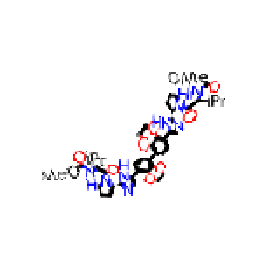 COC(=O)N[C@H](C(=O)N1CCC[C@H]1c1ncc(-c2ccc(-c3ccc(-c4cnc([C@@H]5CCCN5C(=O)[C@@H](NC(=O)OC)C(C)C)[nH]4)c4c3OCCO4)c3c2OCCO3)[nH]1)C(C)C